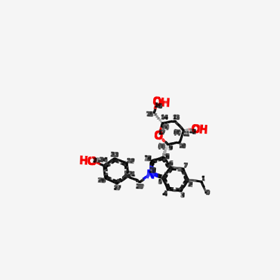 CCc1ccc2c(c1)c([C@H]1C[C@@H](O)C[C@@H](CO)O1)cn2Cc1ccc(O)cc1